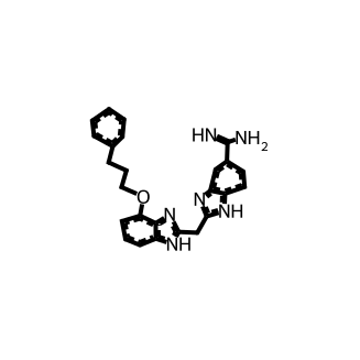 N=C(N)c1ccc2[nH]c(Cc3nc4c(OCCCc5ccccc5)cccc4[nH]3)nc2c1